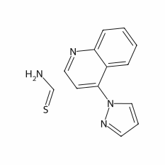 NC=S.c1ccc2c(-n3cccn3)ccnc2c1